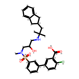 CN(CC(O)CNC(C)(C)CC1Cc2ccccc2C1)S(=O)(=O)c1cccc(-c2ccc(Cl)c(C(=O)O)c2)c1